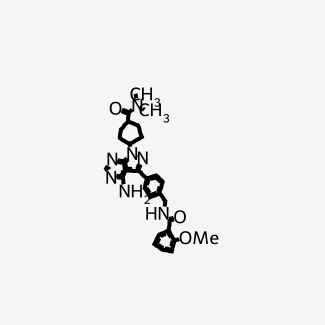 COc1ccccc1C(=O)NCc1ccc(-c2nn(C3CCC(C(=O)N(C)C)CC3)c3ncnc(N)c23)cc1